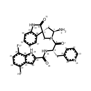 N[C@@H]1C[C@@]2(CN1C(=O)[C@H](Cc1cccnc1)NC(=O)c1cc3c(F)ccc(F)c3[nH]1)C(=O)Nc1ccccc12